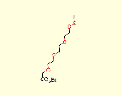 CCOC(=O)COCCOCCOCCOSI